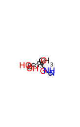 C[C@]12CCC3c4ccc(B(O)O)cc4CCC3C1[C@H](CCC(=O)NCc1cccnc1)CC2=O